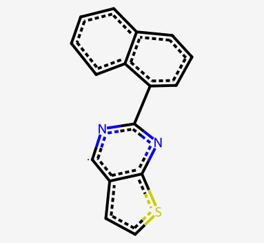 [c]1nc(-c2cccc3ccccc23)nc2sccc12